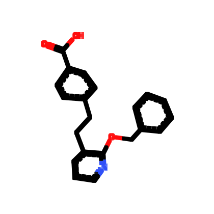 O=C(O)c1ccc(CCc2cccnc2OCc2ccccc2)cc1